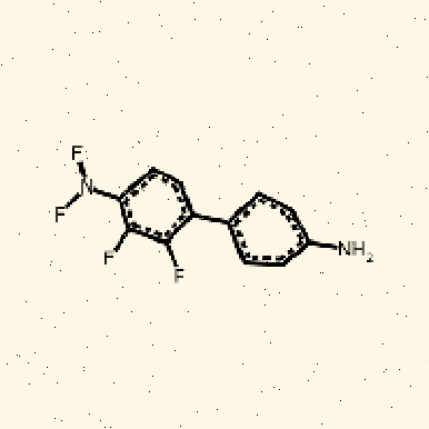 Nc1ccc(-c2ccc(N(F)F)c(F)c2F)cc1